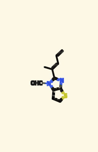 C=C/C=C(\C)c1nc2sccc2n1C=O